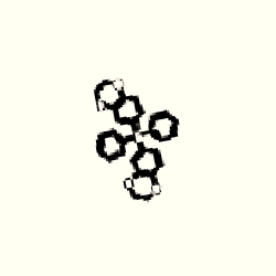 c1ccc([PH](c2ccccc2)(c2ccc3c(c2)OCCO3)c2ccc3c(c2)OCCO3)cc1